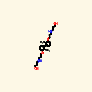 Cc1c(OCCCNCCCO)cccc1-c1cccc(OCCCNCCCO)c1C